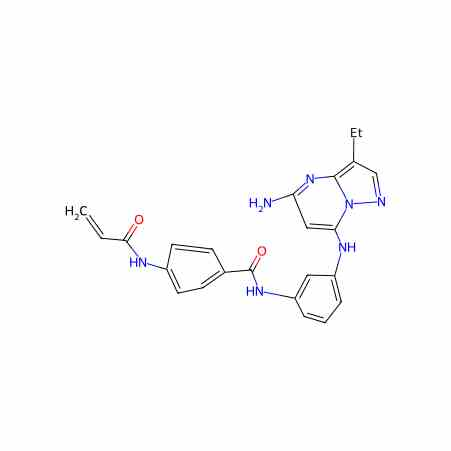 C=CC(=O)Nc1ccc(C(=O)Nc2cccc(Nc3cc(N)nc4c(CC)cnn34)c2)cc1